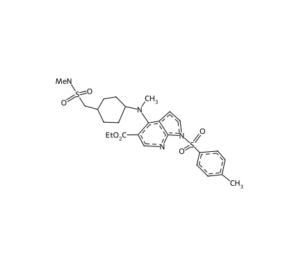 CCOC(=O)c1cnc2c(ccn2S(=O)(=O)c2ccc(C)cc2)c1N(C)C1CCC(CS(=O)(=O)NC)CC1